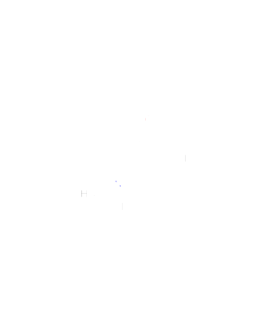 CC[N+]1(C)CCC(=O)C(C)C1